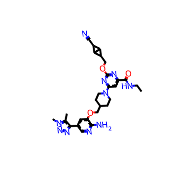 CCNC(=O)c1cc(N2CCC(COc3cc(-c4nnn(C)c4C)cnc3N)CC2)nc(OCC2C3C(C#N)C23)n1